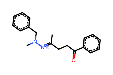 C/C(CCC(=O)c1ccccc1)=N\N(C)Cc1ccccc1